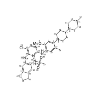 COc1cc(N2CCC(N3CCN(C)CC3)CC2)c(C)cc1Nc1ncc(Cl)c(Nc2cc3c(cc2NS(C)(=O)=O)CCO3)n1